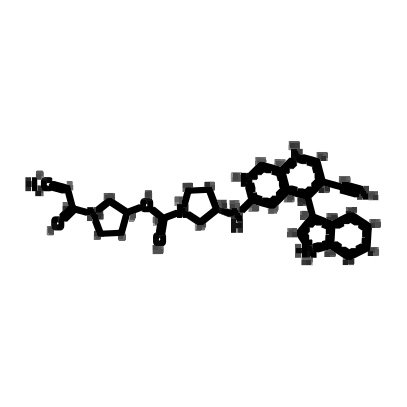 C=CC(=O)N1CCC(OC(=O)N2CC[C@@H](Nc3cc4c(-c5c[nH]c6ccccc56)c(C#N)cnc4cn3)C2)C1